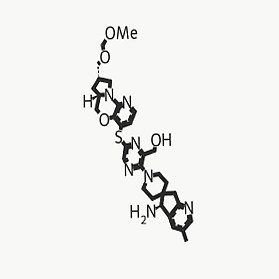 COCOC[C@H]1C[C@H]2COc3c(Sc4cnc(N5CCC6(CC5)Cc5ncc(C)cc5[C@H]6N)c(CO)n4)ccnc3N2C1